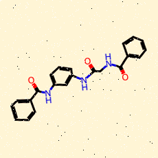 O=C(CNC(=O)c1ccccc1)Nc1cccc(NC(=O)c2ccccc2)c1